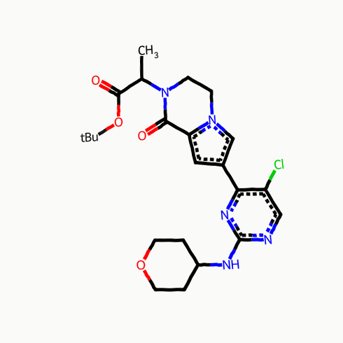 CC(C(=O)OC(C)(C)C)N1CCn2cc(-c3nc(NC4CCOCC4)ncc3Cl)cc2C1=O